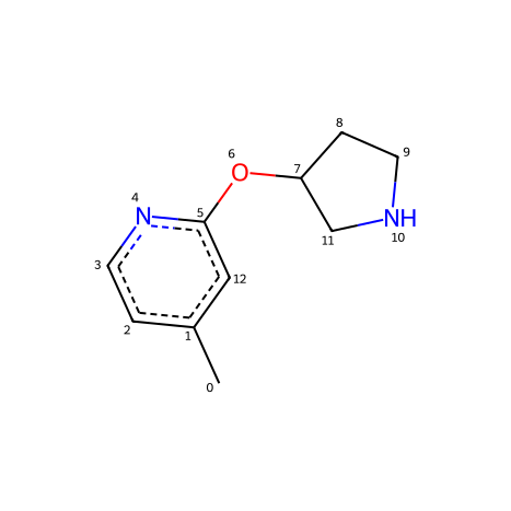 Cc1ccnc(OC2CCNC2)c1